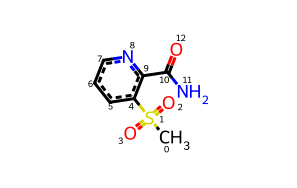 CS(=O)(=O)c1cccnc1C(N)=O